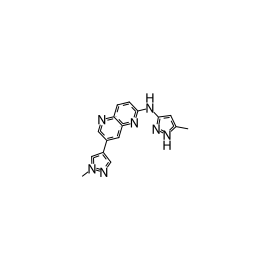 Cc1cc(Nc2ccc3ncc(-c4cnn(C)c4)cc3n2)n[nH]1